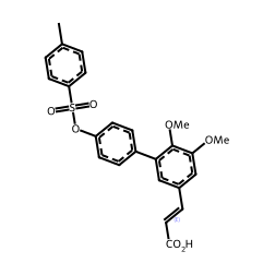 COc1cc(/C=C/C(=O)O)cc(-c2ccc(OS(=O)(=O)c3ccc(C)cc3)cc2)c1OC